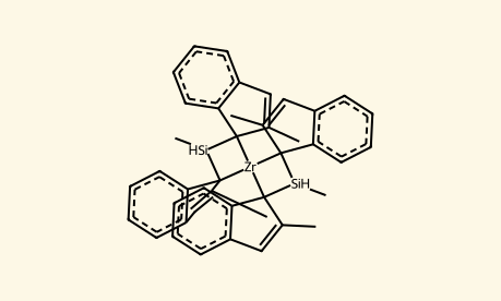 CC1=Cc2ccccc2[C]12[SiH](C)[C]1(C(C)=Cc3ccccc31)[Zr]21[C]2(C(C)=Cc3ccccc32)[SiH](C)[C]12C(C)=Cc1ccccc12